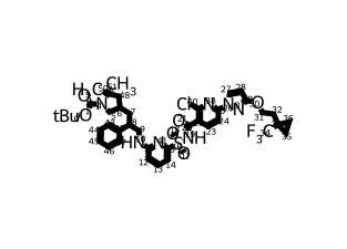 CC(C)(C)OC(=O)N1CC(CC(CNc2cccc(S(=O)(=O)NC(=O)c3ccc(-n4ccc(OCCC5(C(F)(F)F)CC5)n4)nc3Cl)n2)c2ccccc2)CC1(C)C